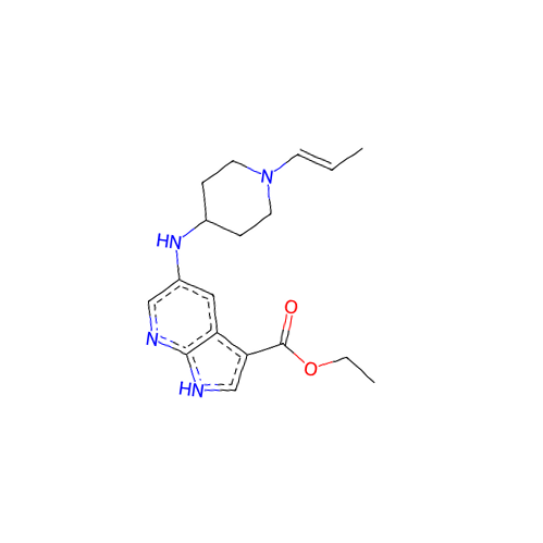 CC=CN1CCC(Nc2cnc3[nH]cc(C(=O)OCC)c3c2)CC1